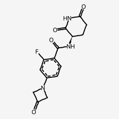 O=C1CN(c2ccc(C(=O)N[C@@H]3CCC(=O)NC3=O)c(F)c2)C1